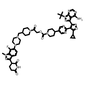 Cn1nc(C2CCC(=O)NC2=O)c2ccc(N3CCN(CC4CCN(C(=O)COC(=O)N5CCC(c6cnc(-c7c(-c8nn(C(C)(C)C)c9ncnc(N)c89)noc7C7CC7)nc6)CC5)CC4)CC3)c(F)c21